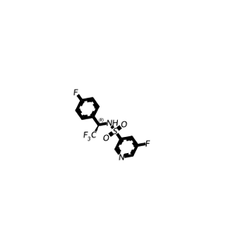 O=S(=O)(N[C@H](c1ccc(F)cc1)C(F)(F)F)c1cncc(F)c1